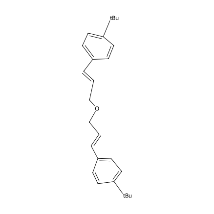 CC(C)(C)c1ccc(C=CCOCC=Cc2ccc(C(C)(C)C)cc2)cc1